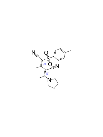 CC(/C(C#N)=C(\C)N1CCCC1)=C(\C#N)S(=O)(=O)c1ccc(C)cc1